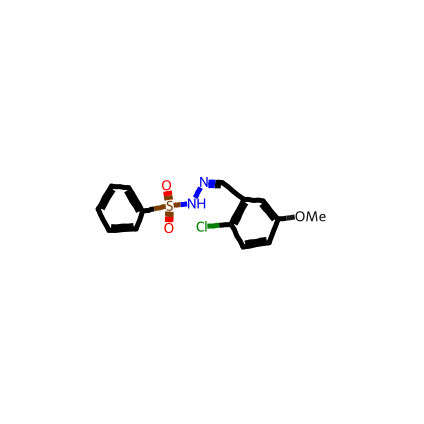 COc1ccc(Cl)c(/C=N\NS(=O)(=O)c2ccccc2)c1